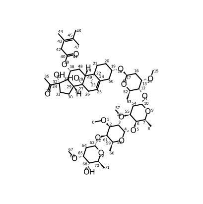 CO[C@H]1C[C@H](O[C@@H]2[C@H](C)O[C@@H](O[C@H]3[C@@H](OC)C[C@H](O[C@H]4CC[C@@]5(C)C(=CC[C@@]6(O)[C@@H]7CC[C@@](O)(C(C)=O)C7[C@H](OC(=O)CC(C)=C(C)C)C[C@@H]65)C4)O[C@@H]3C)C[C@@H]2OC)O[C@@H](C)[C@H]1O[C@H]1C[C@@H](OC)[C@@H](O)[C@H](C)O1